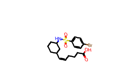 O=C(O)CCC/C=C\C1CCCC(NS(=O)(=O)c2ccc(Br)cc2)C1